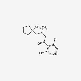 CN(CC(=O)c1c(Cl)cncc1Cl)CC1(C)CCCC1